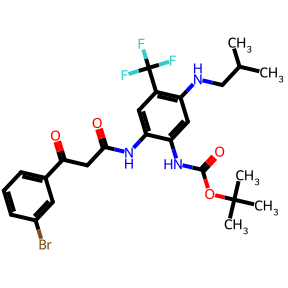 CC(C)CNc1cc(NC(=O)OC(C)(C)C)c(NC(=O)CC(=O)c2cccc(Br)c2)cc1C(F)(F)F